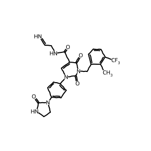 Cc1c(Cn2c(=O)c(C(=O)NCC=N)cn(-c3ccc(N4CCNC4=O)cc3)c2=O)cccc1C(F)(F)F